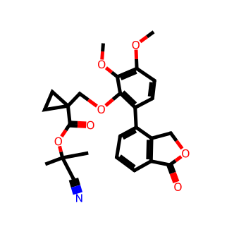 COc1ccc(-c2cccc3c2COC3=O)c(OCC2(C(=O)OC(C)(C)C#N)CC2)c1OC